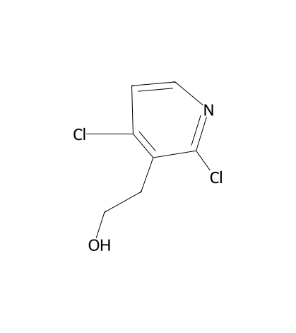 OCCc1c(Cl)ccnc1Cl